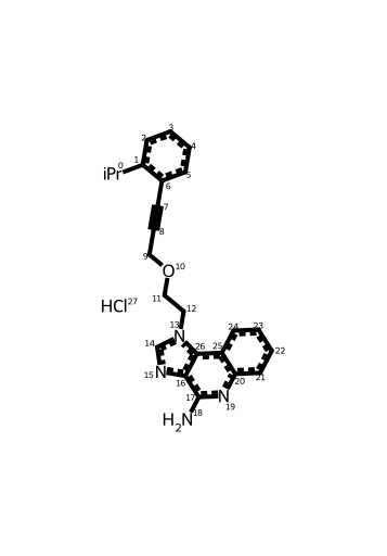 CC(C)c1ccccc1C#CCOCCn1cnc2c(N)nc3ccccc3c21.Cl